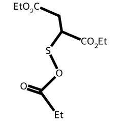 CCOC(=O)CC(SOC(=O)CC)C(=O)OCC